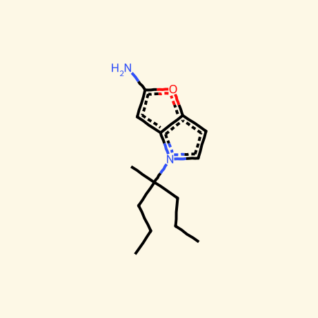 CCCC(C)(CCC)n1ccc2oc(N)cc21